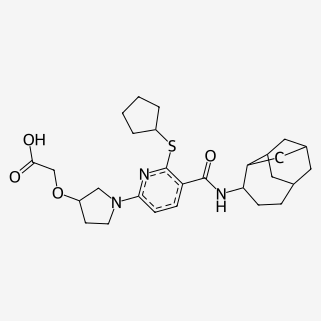 O=C(O)COC1CCN(c2ccc(C(=O)NC3CCC4CC5CC(C4)C3C5)c(SC3CCCC3)n2)C1